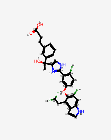 CC(O)(c1cccc(CCC(=O)O)c1)c1c[nH]c(-c2cc(Oc3c(F)cc4[nH]ccc4c3CC(F)F)ccc2F)n1